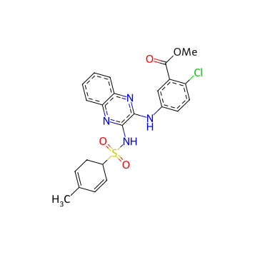 COC(=O)c1cc(Nc2nc3ccccc3nc2NS(=O)(=O)C2C=CC(C)=CC2)ccc1Cl